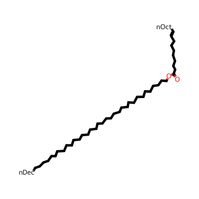 CCCCCCCCC=CCCCCCCCC(=O)OCCCCCCCCCCCCCCCCCCCCCCCCCCCCCCCCCCCCCCCCCCCC